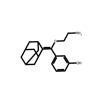 NCCOC(=C1C2CC3CC(C2)CC1C3)c1cccc(O)c1